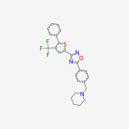 FC(F)(F)c1cc(-c2noc(-c3ccc(CN4CCCCC4)cc3)n2)sc1-c1ccccc1